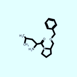 CC(C)CC(N)C(=O)N1CCCC1COCc1ccccc1